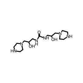 O=C(NCC(O)CN1CCNCC1)NCC(O)CN1CCNCC1